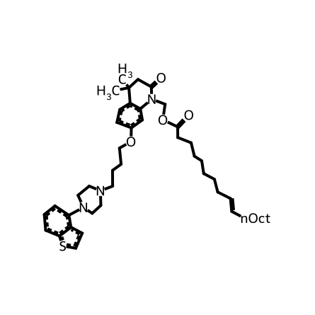 CCCCCCCCC=CCCCCCCCC(=O)OCN1C(=O)CC(C)(C)c2ccc(OCCCCN3CCN(c4cccc5sccc45)CC3)cc21